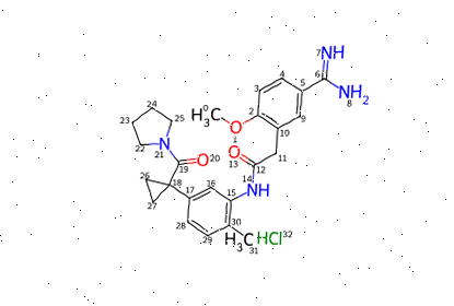 COc1ccc(C(=N)N)cc1CC(=O)Nc1cc(C2(C(=O)N3CCCC3)CC2)ccc1C.Cl